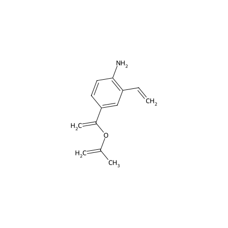 C=Cc1cc(C(=C)OC(=C)C)ccc1N